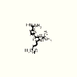 C[PH](=O)/C=C/C1OC(n2cnc(C(=N)N)n2)C2OC(C)(C)OC12